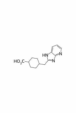 O=C(O)C1CCC(Cc2nc3ncccc3[nH]2)CC1